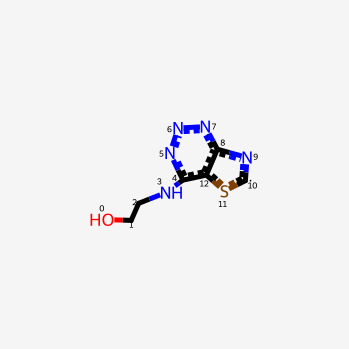 OCCNc1nnnc2n[c]sc12